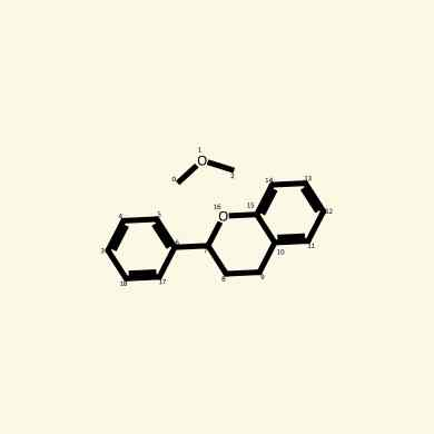 COC.c1ccc(C2CCc3ccccc3O2)cc1